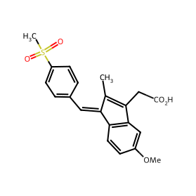 COc1ccc2c(c1)C(CC(=O)O)=C(C)/C2=C\c1ccc(S(C)(=O)=O)cc1